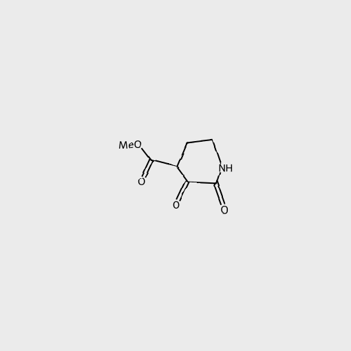 COC(=O)C1CCNC(=O)C1=O